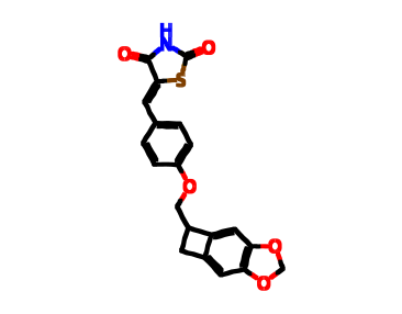 O=C1NC(=O)C(=Cc2ccc(OCC3Cc4cc5c(cc43)OCO5)cc2)S1